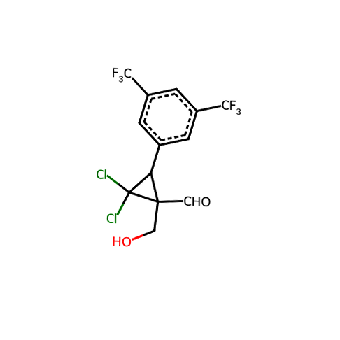 O=CC1(CO)C(c2cc(C(F)(F)F)cc(C(F)(F)F)c2)C1(Cl)Cl